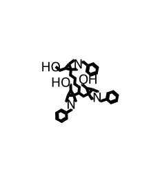 OCC1C2CN(Cc3ccccc3)CC12CCCCC(CC12CN(Cc3ccccc3)CC1C2CO)C12CN(Cc3ccccc3)CC1C2CO